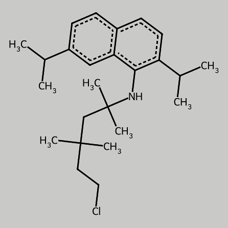 CC(C)c1ccc2ccc(C(C)C)c(NC(C)(C)CC(C)(C)CCCl)c2c1